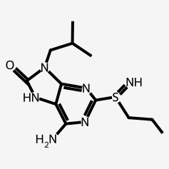 CCCS(=N)c1nc(N)c2[nH]c(=O)n(CC(C)C)c2n1